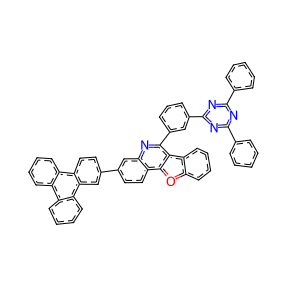 c1ccc(-c2nc(-c3ccccc3)nc(-c3cccc(-c4nc5cc(-c6ccc7c8ccccc8c8ccccc8c7c6)ccc5c5oc6ccccc6c45)c3)n2)cc1